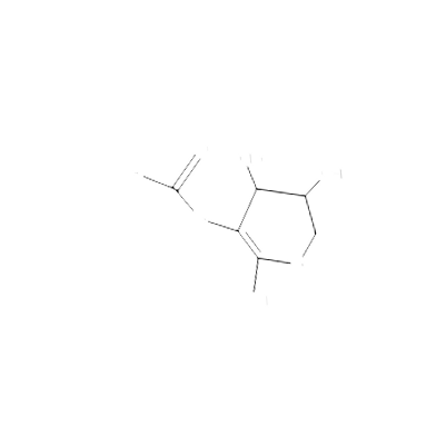 CC1=C(OC(=O)C(C)C)C(C=O)C(O)CO1